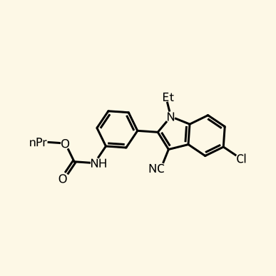 CCCOC(=O)Nc1cccc(-c2c(C#N)c3cc(Cl)ccc3n2CC)c1